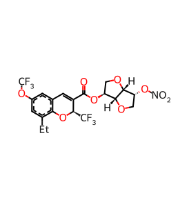 CCc1cc(OC(F)(F)F)cc2c1O[C@H](C(F)(F)F)C(C(=O)O[C@H]1CO[C@H]3[C@@H]1OC[C@H]3O[N+](=O)[O-])=C2